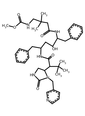 COC(=O)NCC(C)(C)CC(=O)NC(Cc1ccccc1)C(O)CC(Cc1ccccc1)NC(=O)C(C1CNC(=O)N1Cc1cccnc1)C(C)(C)C